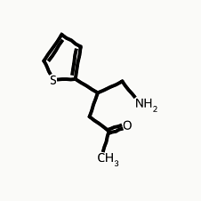 CC(=O)CC(CN)c1cccs1